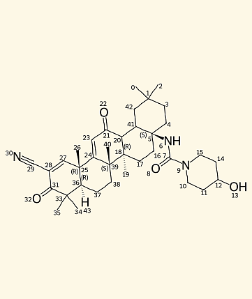 CC1(C)CC[C@]2(NC(=O)N3CCC(O)CC3)CC[C@]3(C)C(C(=O)C=C4[C@@]5(C)C=C(C#N)C(=O)C(C)(C)[C@@H]5CC[C@]43C)C2C1